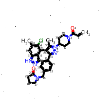 C=CC(=O)N1CCC(n2nc(-c3ccc(CN4CCCC4=O)cc3)c(-c3c(Cl)c(C)cc4[nH]ncc34)c2C)CC1